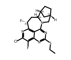 CCSc1nc2c3c(nc(Cl)c(F)c3n1)[C@H](F)C[C@@H]1[C@@H]3CC[C@@H](C3)CN21